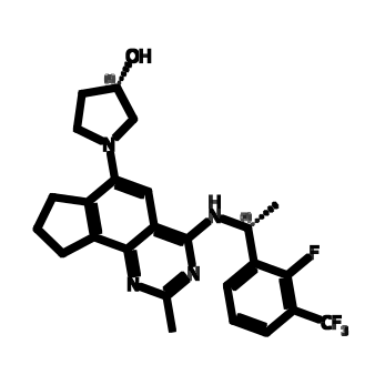 Cc1nc(N[C@H](C)c2cccc(C(F)(F)F)c2F)c2cc(N3CC[C@H](O)C3)c3c(c2n1)CCC3